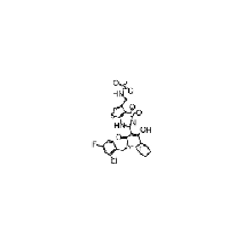 CS(=O)(=O)NCc1csc2c1S(=O)(=O)N=C(C1=C(O)C3C4CCC(C4)C3N(Cc3ccc(F)cc3Cl)C1=O)N2